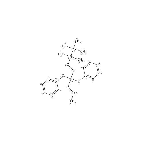 COCC(CO[Si](C)(C)C(C)(C)C)(Cc1ccccc1)Cc1ccccc1